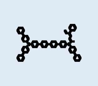 C=C/C(=C\C=C(/C)N(c1ccc(-c2ccccc2)cc1)c1ccc(-c2ccc(-c3ccc(-c4ccc(N(c5ccc(-c6ccccc6)cc5)C5C=CC(c6ccccc6)=CC5)cc4)cc3)cc2)cc1)c1ccccc1